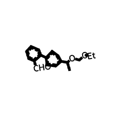 CCOCOC(C)c1ccc(-c2ccccc2C=O)cc1